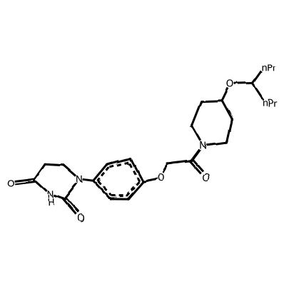 CCCC(CCC)OC1CCN(C(=O)COc2ccc(N3CCC(=O)NC3=O)cc2)CC1